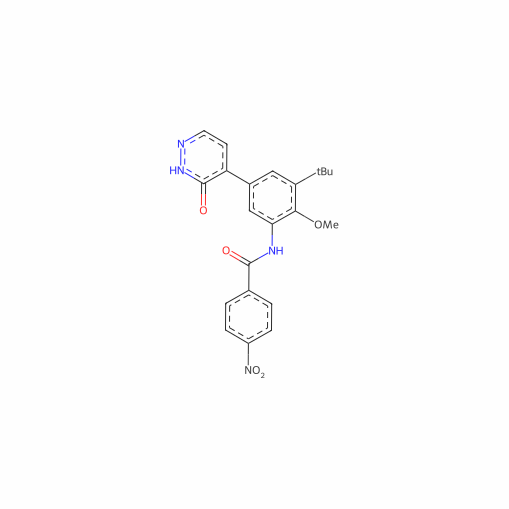 COc1c(NC(=O)c2ccc([N+](=O)[O-])cc2)cc(-c2ccn[nH]c2=O)cc1C(C)(C)C